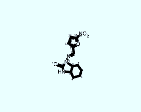 O=C1NC2CCCCC2N1N=Cc1ccc([N+](=O)[O-])o1